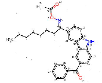 CCCCCCC/C(=N\OC(C)=O)c1ccc2[nH]c3ccc(C(=O)c4ccccc4)cc3c2c1